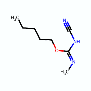 CCCCCO/C(=N\C)NC#N